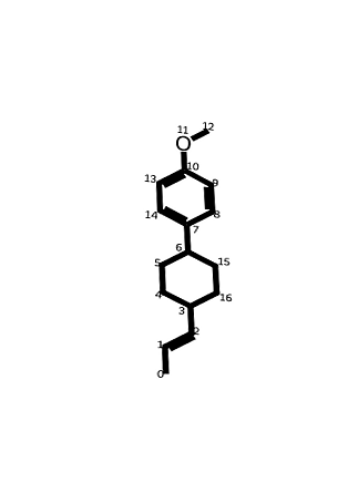 C/C=C/C1CCC(c2ccc(OC)cc2)CC1